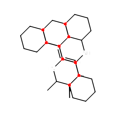 CC(NC(=NC1CCCCC1)NC1CCCCC1)C(C)NC(=NC1CCCCC1)NC1CCCCC1